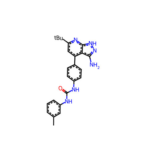 Cc1cccc(NC(=O)Nc2ccc(-c3cc(C(C)(C)C)nc4[nH]nc(N)c34)cc2)c1